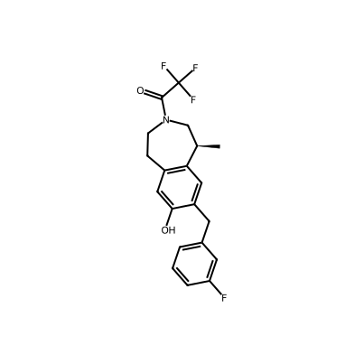 C[C@@H]1CN(C(=O)C(F)(F)F)CCc2cc(O)c(Cc3cccc(F)c3)cc21